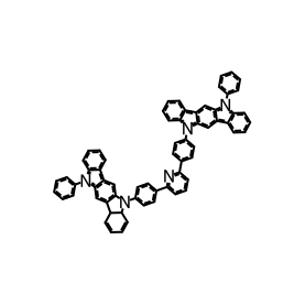 C1=CC2c3cc4c(cc3N(c3ccc(-c5cccc(-c6ccc(-n7c8ccccc8c8cc9c(cc87)c7ccccc7n9-c7ccccc7)cc6)n5)cc3)C2C=C1)c1ccccc1n4-c1ccccc1